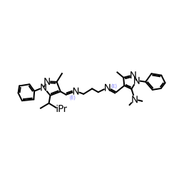 Cc1nn(-c2ccccc2)c(C(C)C(C)C)c1/C=N/CCC/N=C/c1c(C)nn(-c2ccccc2)c1N(C)C